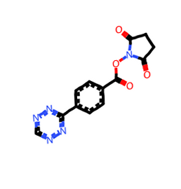 O=C(ON1C(=O)CCC1=O)c1ccc(-c2nncnn2)cc1